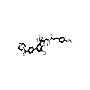 [2H]C1([2H])c2cc(-c3ccc(C(=O)N4CCOCC4)cc3)cc(Cl)c2OC1CNC(=O)/C=C/c1ccc(N)nc1